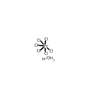 O.[Cl][Pt-]([Cl])([Cl])([Cl])([Cl])[Cl].[H+]